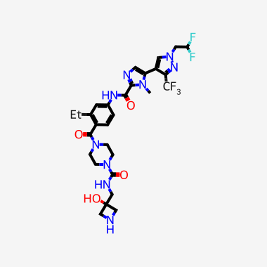 CCc1cc(NC(=O)c2ncc(-c3cn(CC(F)F)nc3C(F)(F)F)n2C)ccc1C(=O)N1CCN(C(=O)NCC2(O)CNC2)CC1